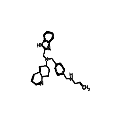 C=CCNCc1ccc(CN(Cc2nc3ccccc3[nH]2)C2C=C3C=CC=NC3CC2)cc1